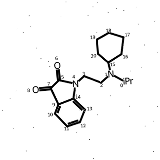 CC(C)N(CCN1C(=O)C(=O)c2ccccc21)C1CCCCC1